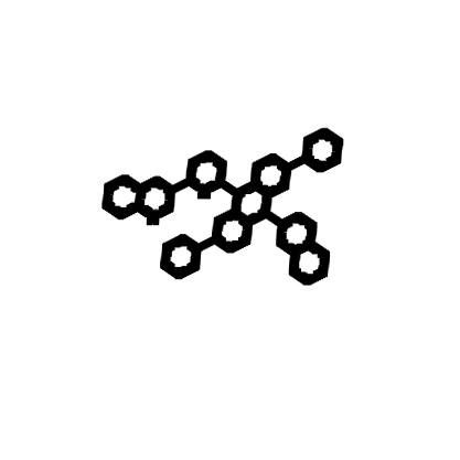 c1ccc(-c2ccc3c(-c4cccc(-c5cnc6ccccc6c5)n4)c4cc(-c5ccccc5)ccc4c(-c4ccc5ccccc5c4)c3c2)cc1